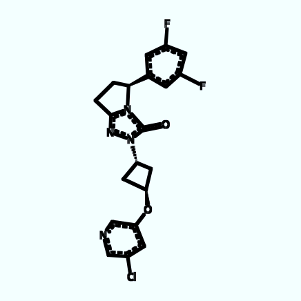 O=c1n2c(nn1[C@H]1C[C@H](Oc3cncc(Cl)c3)C1)CC[C@H]2c1cc(F)cc(F)c1